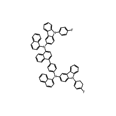 FC1=CC=C(n2c3ccccc3c3cc(N(c4ccc(-c5ccc(N(c6ccc7c(c6)c6ccccc6n7-c6ccc(F)cc6)c6cccc7ccccc67)c6ccccc56)cc4)c4cccc5ccccc45)ccc32)CC1